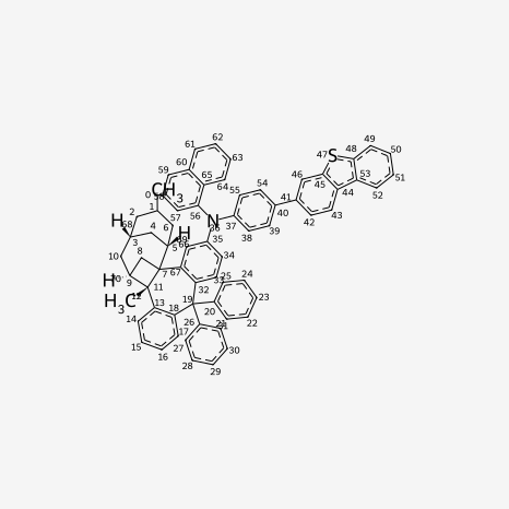 CC1C[C@@H]2C[C@H](C1)C13C[C@H](C2)[C@@]1(C)c1ccccc1C(c1ccccc1)(c1ccccc1)c1ccc(N(c2ccc(-c4ccc5c(c4)sc4ccccc45)cc2)c2cccc4ccccc24)cc13